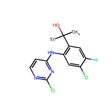 CCC(C)(O)c1cc(F)c(Cl)cc1Nc1ccnc(Cl)n1